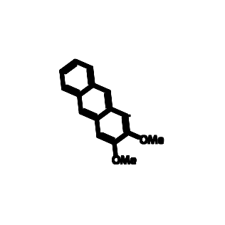 COc1[c]c2cc3ccccc3cc2cc1OC